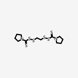 S=C(SSCCSSC(=S)N1CCCC1)N1CCCC1